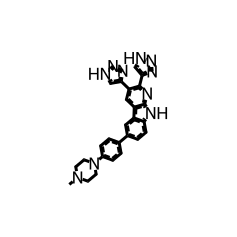 CN1CCN(c2ccc(-c3ccc4[nH]c5nc(-c6c[nH]nn6)c(-c6c[nH]nn6)cc5c4c3)cc2)CC1